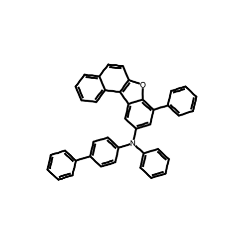 c1ccc(-c2ccc(N(c3ccccc3)c3cc(-c4ccccc4)c4oc5ccc6ccccc6c5c4c3)cc2)cc1